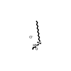 C=CC(=O)NC[N+](C)(C)CCCCCCCCCCCC.[Cl-]